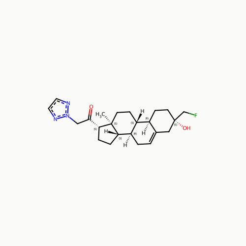 C[C@]12CC[C@H]3[C@@H](CC=C4C[C@](O)(CF)CC[C@@H]43)[C@@H]1CC[C@@H]2C(=O)Cn1nccn1